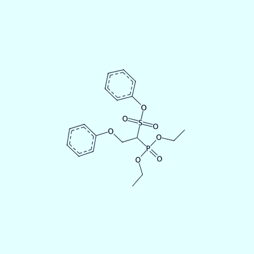 CCOP(=O)(OCC)C(COc1ccccc1)S(=O)(=O)Oc1ccccc1